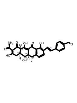 C[C@H]1c2ccc(/C=C/c3ccc(CCl)cc3)c(O)c2C(=O)C2=C(O)[C@]3(O)C(=O)C(C(N)=O)=C(O)C[C@@H]3[C@@H](O)[C@@H]21